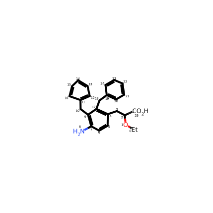 CCOC(Cc1ccc(N)c(Cc2ccccc2)c1Cc1ccccc1)C(=O)O